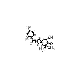 CC1(C)CC2(C=C(C#N)C1=O)CN(C(=O)c1ccc(Cl)cc1F)C2